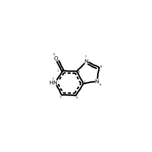 O=c1[nH]ccc2c1N=C[N]2